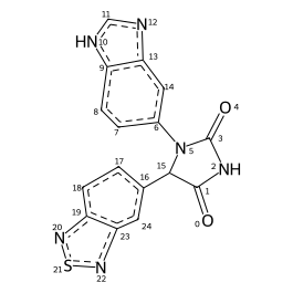 O=C1NC(=O)N(c2ccc3[nH]cnc3c2)C1c1ccc2nsnc2c1